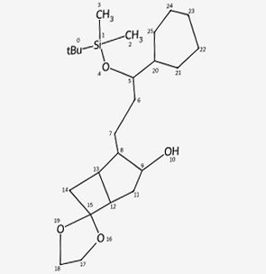 CC(C)(C)[Si](C)(C)OC(CCC1C(O)CC2C1CC21OCCO1)C1CCCCC1